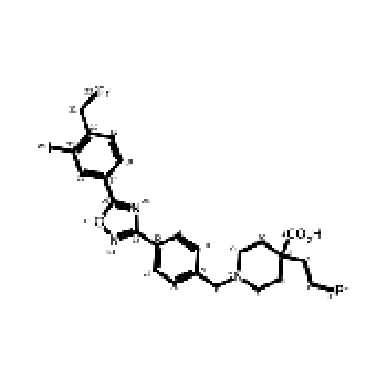 CC(C)CCC1(C(=O)O)CCN(Cc2ccc(-c3noc(-c4ccc(CC(C)C)c(I)c4)n3)cc2)CC1